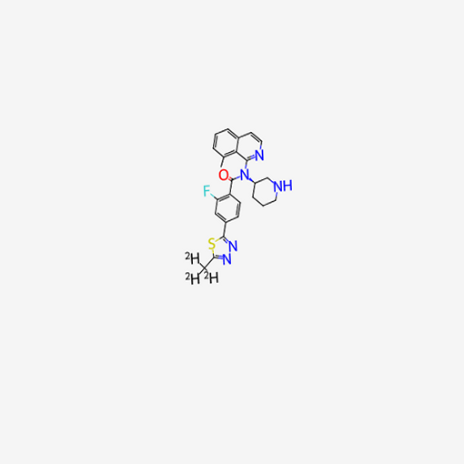 [2H]C([2H])([2H])c1nnc(-c2ccc(C(=O)N(c3nccc4cccc(C)c34)[C@@H]3CCCNC3)c(F)c2)s1